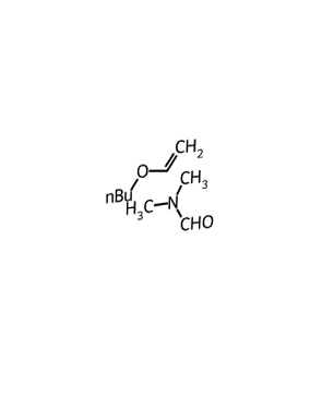 C=COCCCC.CN(C)C=O